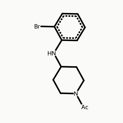 CC(=O)N1CCC(Nc2ccccc2Br)CC1